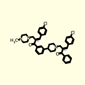 CN1CCN(C/C(=C\c2ccc(Cl)cc2)C(=O)c2cccc(C3CCN(C/C(=C\c4ccc(Cl)cc4)C(=O)c4ccccc4)CC3)c2)CC1